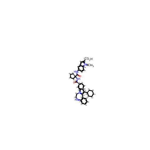 Cn1c(C(=O)O)cc2cc(NC(=O)C3(NC(=O)c4ccc5c(C6CCCCC6)c6n(c5c4)CCNc4ccccc4-6)CCCC3)ccc21